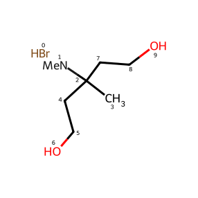 Br.CNC(C)(CCO)CCO